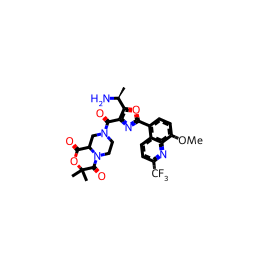 COc1ccc(-c2nc(C(=O)N3CCN4C(=O)C(C)(C)OC(=O)C4C3)c([C@H](C)N)o2)c2ccc(C(F)(F)F)nc12